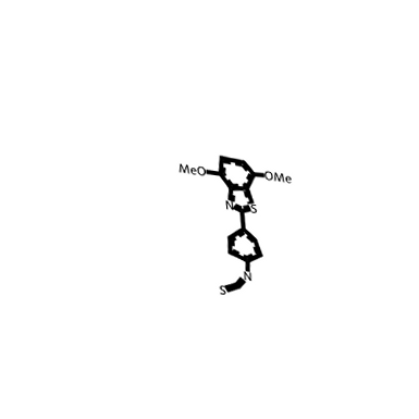 COc1ccc(OC)c2sc(-c3ccc(N=C=S)cc3)nc12